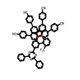 N#Cc1ccc(-c2ccc3c(c2)c2cc(-c4ccc(C#N)cc4)ccc2n3-c2ccc(-c3nc(-c4ccccc4)nc(-c4ccccc4)n3)cc2-c2c(-n3c4ccc(-c5ccc(C#N)cc5)cc4c4cc(-c5ccc(C#N)cc5)ccc43)cccc2C(F)(F)F)cc1